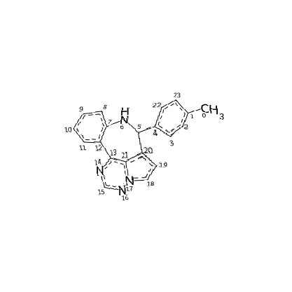 Cc1ccc(C2Nc3ccccc3-c3ncnn4ccc2c34)cc1